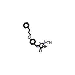 N#C/N=C1\NC(=O)/C(=C/c2ccc(OCCCc3ccccc3)cc2)S1